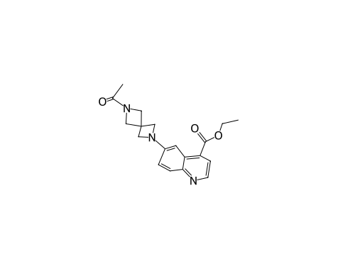 CCOC(=O)c1ccnc2ccc(N3CC4(CN(C(C)=O)C4)C3)cc12